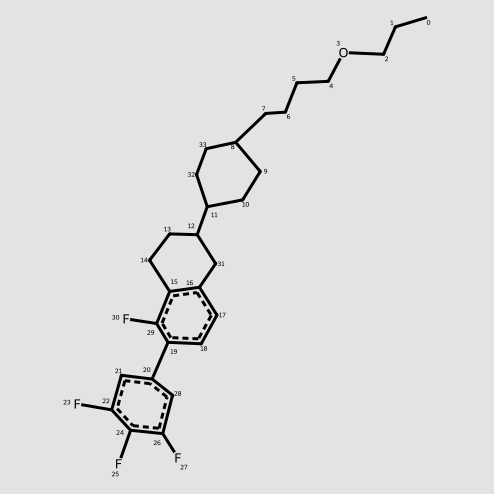 CCCOCCCCC1CCC(C2CCc3c(ccc(-c4cc(F)c(F)c(F)c4)c3F)C2)CC1